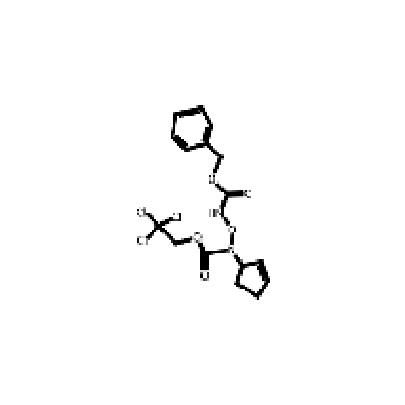 O=C(NON(C(=O)OCC(Cl)(Cl)Cl)C1C=CCC1)OCc1ccccc1